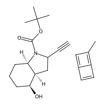 C#CC1C[C@@H]2[C@@H](CCC[C@@H]2O)N1C(=O)OC(C)(C)C.Cc1cc2ccc1-2